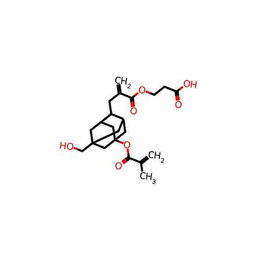 C=C(C)C(=O)OC12CC3CC(CO)(CC(C1)C3CC(=C)C(=O)OCCC(=O)O)C2